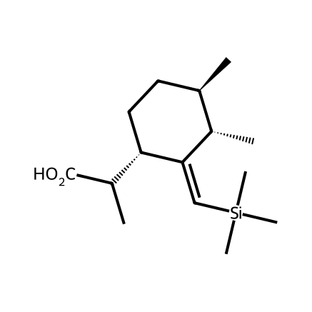 CC(C(=O)O)[C@@H]1CC[C@@H](C)[C@H](C)/C1=C\[Si](C)(C)C